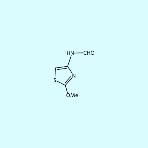 COc1nc(NC=O)cs1